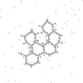 Ic1cccc2c3ccc4ccc5ccccc5c4c3c3ccccc3c12